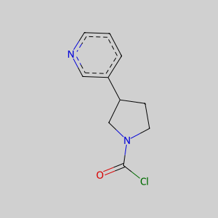 O=C(Cl)N1CCC(c2cccnc2)C1